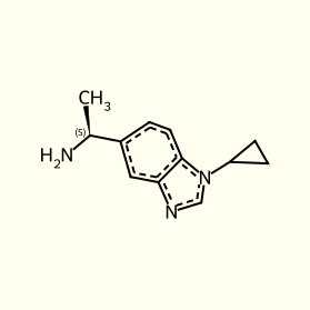 C[C@H](N)c1ccc2c(c1)ncn2C1CC1